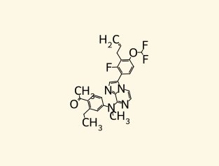 C=CCc1c(OC(F)F)ccc(-c2cnc3c(N(C)c4ccc(C(C)=O)c(CC)c4)nccn23)c1F